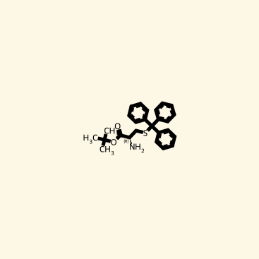 CC(C)(C)OC(=O)[C@@H](N)CSC(c1ccccc1)(c1ccccc1)c1ccccc1